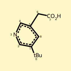 CC(C)(C)c1cncc(CC(=O)O)c1